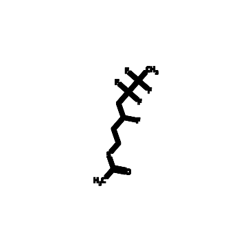 CC(=O)SCCC(F)CC(F)(F)C(C)(F)F